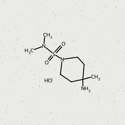 CN(C)S(=O)(=O)N1CCC(C)(N)CC1.Cl